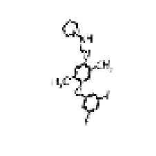 Cc1cc(Oc2cc(F)cc(I)c2)c(C)cc1/N=C/NN1CCCC1